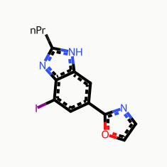 CCCc1nc2c(I)cc(-c3ncco3)cc2[nH]1